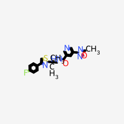 Cc1nc(-c2cncc(C(=O)NCC(C)(C)c3nc(-c4ccc(F)cc4)cs3)c2)no1